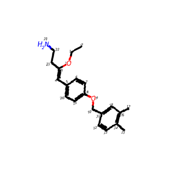 CCOC(=Cc1ccc(OCc2ccc(C)c(C)c2)cc1)CCN